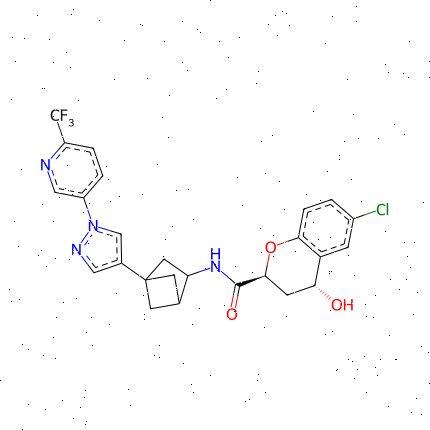 O=C(NC1CC2(c3cnn(-c4ccc(C(F)(F)F)nc4)c3)CC1C2)[C@@H]1C[C@@H](O)c2cc(Cl)ccc2O1